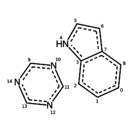 c1ccc2[nH]ccc2c1.c1ncncn1